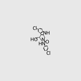 O=C(Nc1ccc(Cl)cc1)N1Cc2[nH]c3ccc(Cl)cc3c2C(CO)C1